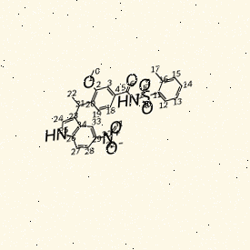 COc1cc(C(=O)NS(=O)(=O)c2ccccc2C)ccc1C(C)c1c[nH]c2ccc([N+](=O)[O-])cc12